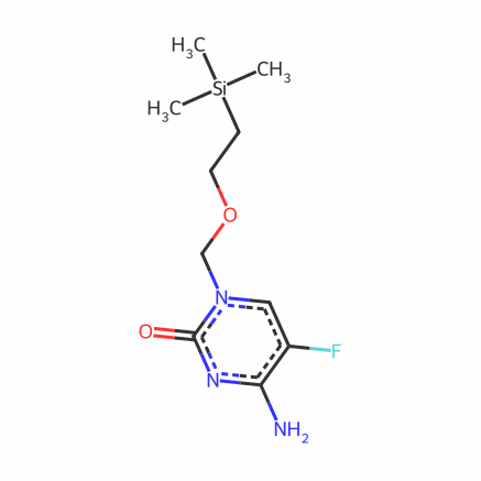 C[Si](C)(C)CCOCn1cc(F)c(N)nc1=O